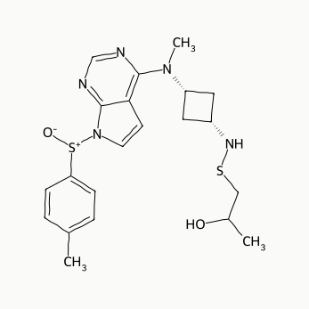 Cc1ccc([S+]([O-])n2ccc3c(N(C)[C@H]4C[C@@H](NSCC(C)O)C4)ncnc32)cc1